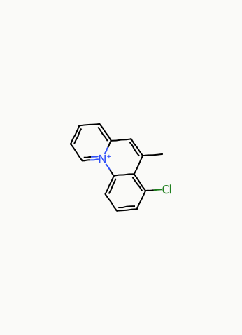 Cc1cc2cccc[n+]2c2cccc(Cl)c12